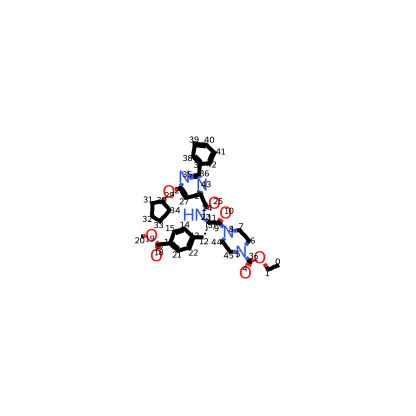 CCOC(=O)N1CCN(C(=O)[C@H](Cc2ccc(C(=O)OC)cc2)NC(=O)c2cc(OC3CCCC3)nc(-c3ccccc3)n2)CC1